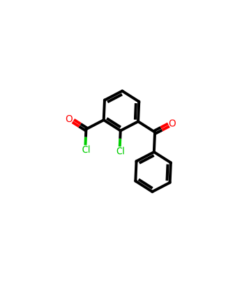 O=C(Cl)c1cccc(C(=O)c2ccccc2)c1Cl